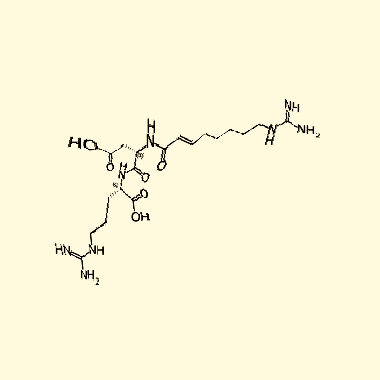 N=C(N)NCCCCCC=CC(=O)N[C@@H](CC(=O)O)C(=O)N[C@@H](CCCNC(=N)N)C(=O)O